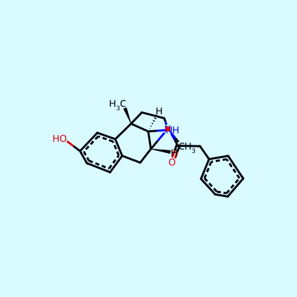 CN1CC[C@@]2(C)c3cc(O)ccc3C[C@@H]1[C@@H]2NC(=O)Cc1ccccc1